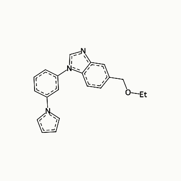 CCOCc1ccc2c(c1)ncn2-c1cccc(-n2cccc2)c1